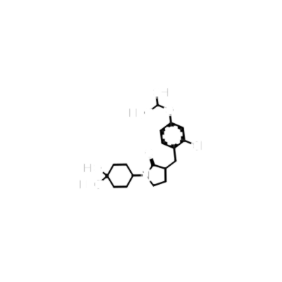 CC(C)Oc1ccc(CC2CCN(C3CCC(C)(O)CC3)C2=O)c(Cl)c1